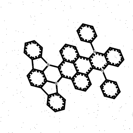 c1ccc(-n2c3ccccc3n(-c3ccccc3)c3c4cccc5c6c(c7cccc(c7c54)c32)B2c3ccccc3-c3ccc4c(c32)B6c2ccccc2-4)cc1